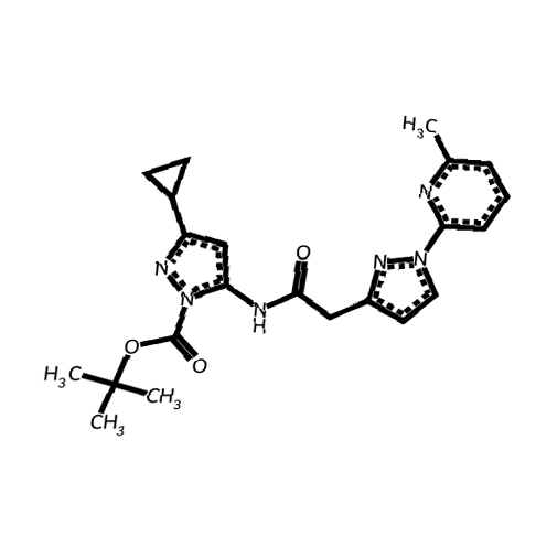 Cc1cccc(-n2ccc(CC(=O)Nc3cc(C4CC4)nn3C(=O)OC(C)(C)C)n2)n1